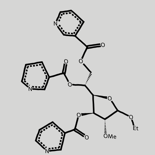 CCOC1O[C@H]([C@@H](COC(=O)c2cccnc2)OC(=O)c2cccnc2)[C@H](OC(=O)c2cccnc2)[C@H]1OC